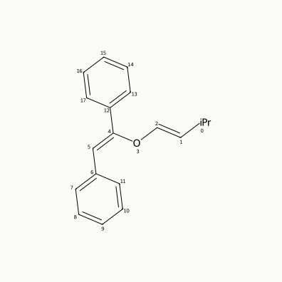 CC(C)C=COC(=Cc1ccccc1)c1ccccc1